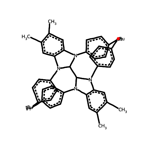 Cc1cc2c(cc1C)N(c1ccc(C(C)(C)C)cc1)C(C1N(c3ccc(C(C)C)cc3)c3cc(C)c(C)cc3N1c1ccc(C(C)(C)C)cc1)N2c1ccc(C(C)C)cc1